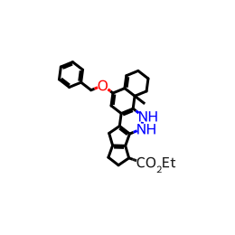 CCOC(=O)C1CCC2=C1C1=C(C2)C2=C(NN1)C1(C)CCCC=C1C(OCc1ccccc1)=C2